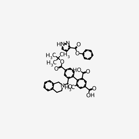 Cc1cc(C(=O)O)cc(C(=O)O)c1-c1ccc(C(=O)OC(C)(C)C)cc1C(=O)N1CCc2ccccc2C1.O=C(Oc1ccccc1)c1cc[nH]n1